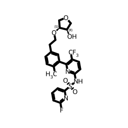 Cc1ccc(CCO[C@H]2COC[C@H]2O)cc1-c1nc(NS(=O)(=O)c2cccc(F)n2)ccc1C(F)(F)F